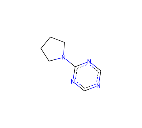 c1ncnc(N2CCCC2)n1